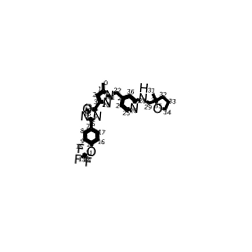 Cc1cc(-c2nc(-c3ccc(OC(F)(F)F)cc3)no2)nn1Cc1ccnc(NCC2(C)CCCO2)c1